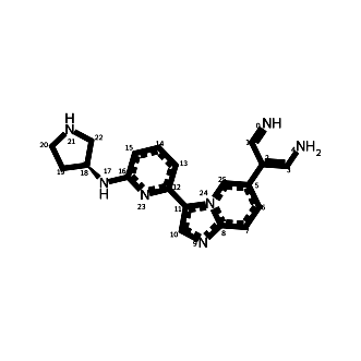 N=C/C(=C\N)c1ccc2ncc(-c3cccc(N[C@H]4CCNC4)n3)n2c1